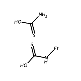 CCNC(O)=S.NC(O)=S